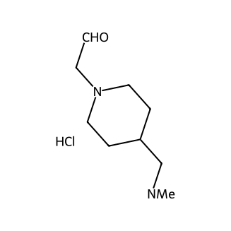 CNCC1CCN(CC=O)CC1.Cl